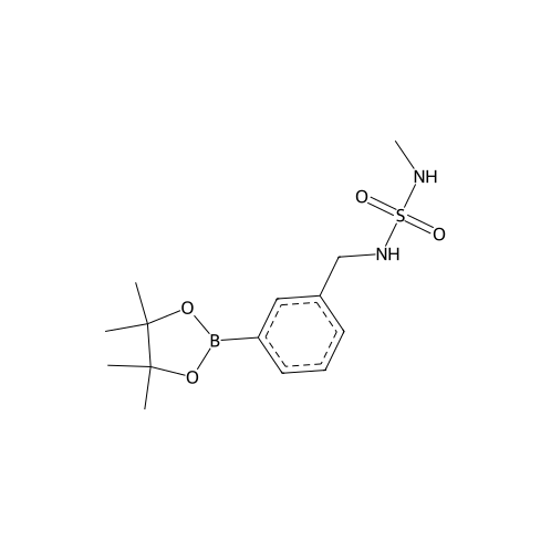 CNS(=O)(=O)NCc1cccc(B2OC(C)(C)C(C)(C)O2)c1